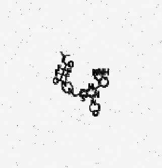 CC(C)=CC(=O)C(F)(F)C(F)(F)C(=O)N1CCN(Cc2cc3nc(-c4cccc5[nH]ncc45)nc(N4CCOCC4)c3s2)CC1